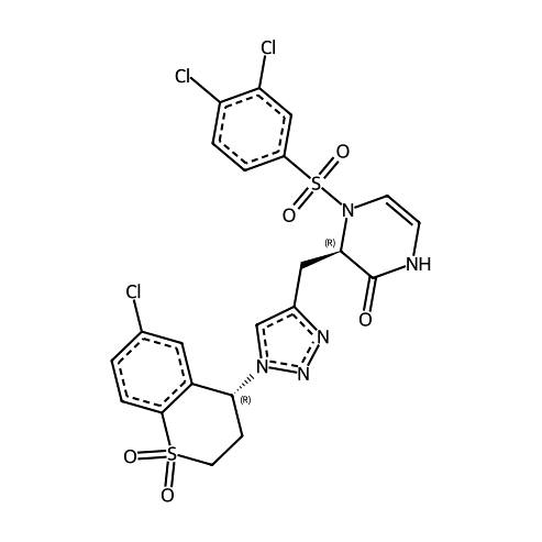 O=C1NC=CN(S(=O)(=O)c2ccc(Cl)c(Cl)c2)[C@@H]1Cc1cn([C@@H]2CCS(=O)(=O)c3ccc(Cl)cc32)nn1